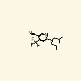 CCCN(CC(C)C)c1cc(C(F)(F)F)c(C#N)cn1